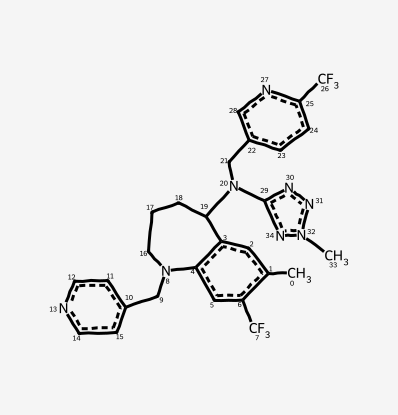 Cc1cc2c(cc1C(F)(F)F)N(Cc1ccncc1)CCCC2N(Cc1ccc(C(F)(F)F)nc1)c1nnn(C)n1